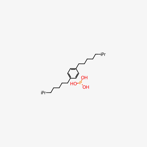 CC(C)CCCCCc1ccc(CCCCCC(C)C)cc1.OP(O)O